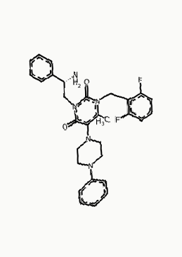 Cc1c(N2CCN(c3ccccc3)CC2)c(=O)n(C[C@@H](N)c2ccccc2)c(=O)n1Cc1c(F)cccc1F